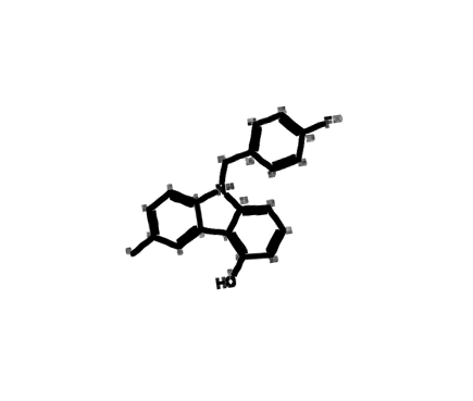 Cc1ccc2c(c1)c1c(O)cccc1n2Cc1ccc(F)cc1